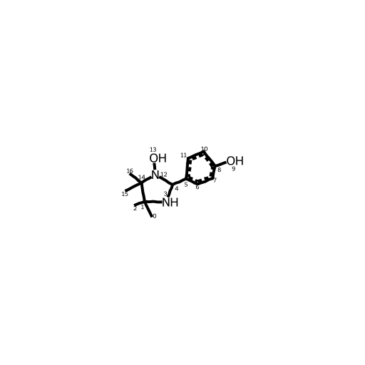 CC1(C)NC(c2ccc(O)cc2)N(O)C1(C)C